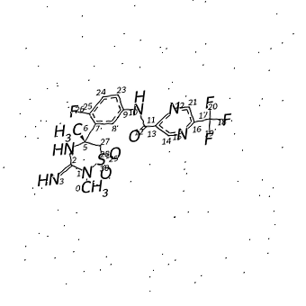 CN1C(=N)N[C@](C)(c2cc(NC(=O)c3cnc(C(F)(F)F)cn3)ccc2F)CS1(=O)=O